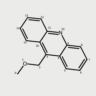 COCc1c2ccccc2nc2ccccc12